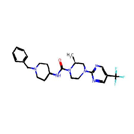 C[C@H]1CN(c2ncc(C(F)(F)F)cn2)CCN1C(=O)NC1CCN(Cc2ccccc2)CC1